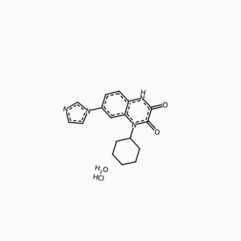 Cl.O.O=c1[nH]c2ccc(-n3ccnc3)cc2n(C2CCCCC2)c1=O